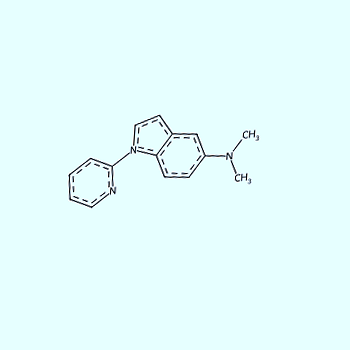 CN(C)c1ccc2c(ccn2-c2ccccn2)c1